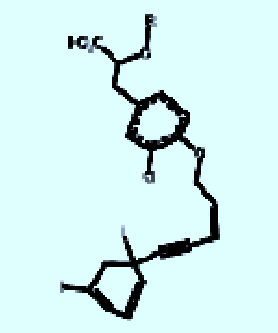 CCO[C@@H](Cc1ccc(OC/C=C\C#CC2(I)C=CC=C(I)C2)c(Cl)c1)C(=O)O